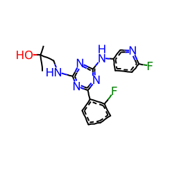 CC(C)(O)CNc1nc(Nc2ccc(F)nc2)nc(-c2ccccc2F)n1